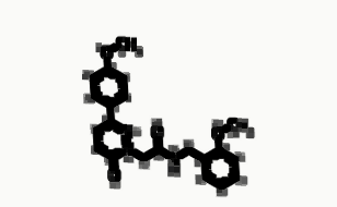 COc1ccc(-c2ccc(=O)n(CC(=O)NCc3ccccc3OC)n2)cc1